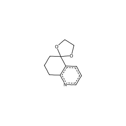 c1cnc2c(c1)C1(CCC2)OCCO1